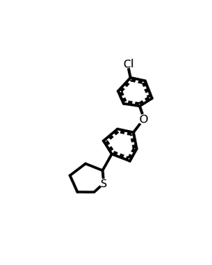 Clc1ccc(Oc2ccc(C3CCCCS3)cc2)cc1